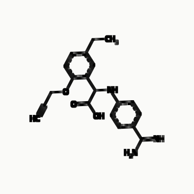 C#CCOc1ccc(CC)cc1C(Nc1ccc(C(=N)N)cc1)C(=O)O